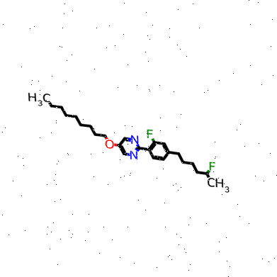 CCCCCCCCCOc1cnc(-c2ccc(CCCCC(C)F)cc2F)nc1